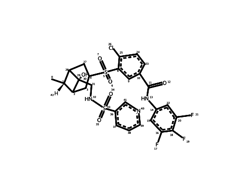 C[C@H]1C2CC(S(=O)(=O)c3cc(C(=O)Nc4cc(F)c(F)c(F)c4)ccc3Cl)CC1[C@@]2(O)CNS(=O)(=O)c1cccnc1